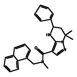 CN(Cc1cccc2ccccc12)C(=O)c1cnn2c1NC(c1ccccc1)CC2(C)C